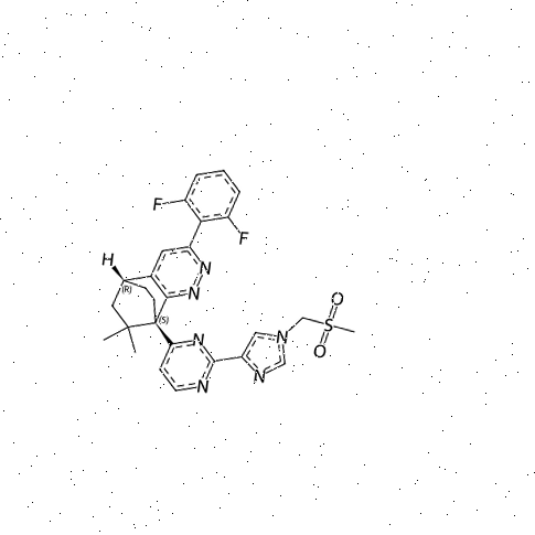 CC1(C)C[C@H]2CC[C@]1(c1ccnc(-c3cn(CS(C)(=O)=O)cn3)n1)c1nnc(-c3c(F)cccc3F)cc12